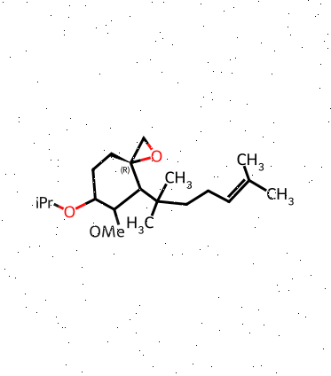 COC1C(OC(C)C)CC[C@]2(CO2)C1C(C)(C)CCC=C(C)C